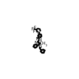 Cc1c(-c2nc3ccc(N4CCCC(C(F)(F)F)C4)cn3n2)nc2ccccc2c1OCc1ccccc1